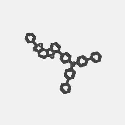 c1ccc(-c2ccc(N(c3ccc(-c4ccccc4)cc3)c3ccc(-c4cccc5c4oc4ccc6nc(-c7ccccc7)oc6c45)cc3)cc2)cc1